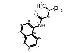 CN(C)CC(=O)Nc1cccc2ccccc12